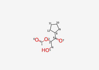 O=COC(CO)C(=O)C1CCCC1